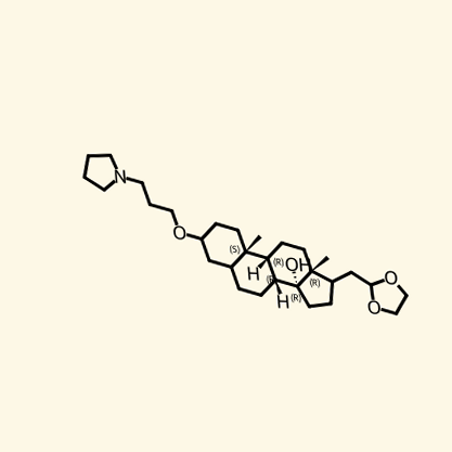 C[C@]12CCC(OCCCN3CCCC3)CC1CC[C@@H]1[C@H]2CC[C@]2(C)C(CC3OCCO3)CC[C@@]12O